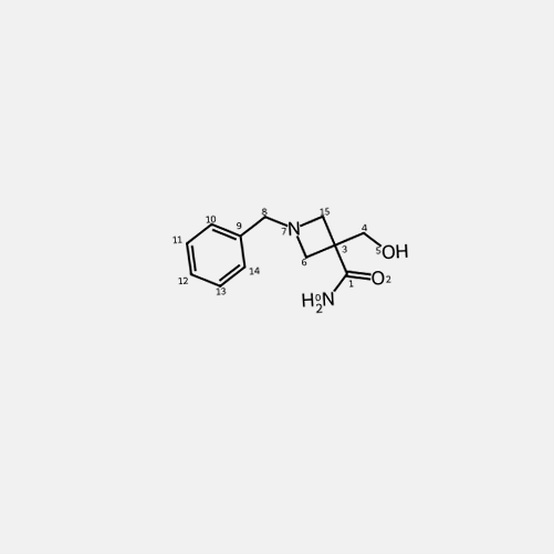 NC(=O)C1(CO)CN(Cc2ccccc2)C1